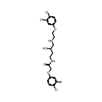 O=C(COc1ccc(Cl)c(F)c1)NCCC(O)CNCCOc1ccc(Cl)c(Cl)c1